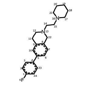 Fc1ccc(-c2ccc3c(c2)CCN(CCN2CCCCC2)C3)cc1